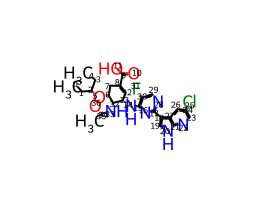 CCC(CC)O[C@@H]1CC(C(=O)O)=C[C@H](Nc2nc(-c3c[nH]c4ncc(Cl)cc34)ncc2F)C1NC(C)=O